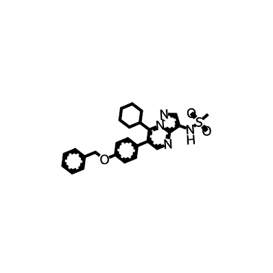 CS(=O)(=O)Nc1cnn2c(C3CCCCC3)c(-c3ccc(OCc4ccccc4)cc3)cnc12